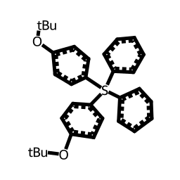 CC(C)(C)Oc1ccc(S(c2ccccc2)(c2ccccc2)c2ccc(OC(C)(C)C)cc2)cc1